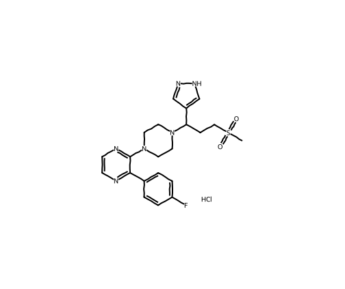 CS(=O)(=O)CCC(c1cn[nH]c1)N1CCN(c2nccnc2-c2ccc(F)cc2)CC1.Cl